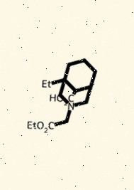 CCOC(=O)CN1CC2CCCC(CC)(C1)C2C(=O)O